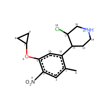 Cc1cc([N+](=O)[O-])c(OC2CC2)cc1C1CCNCC1Cl